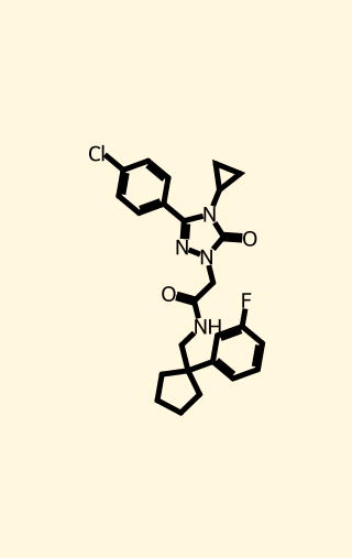 O=C(Cn1nc(-c2ccc(Cl)cc2)n(C2CC2)c1=O)NCC1(c2cccc(F)c2)CCCC1